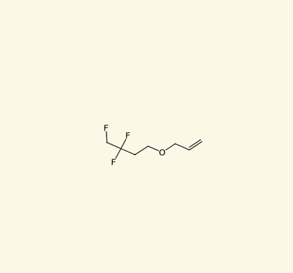 C=CCOCCC(F)(F)CF